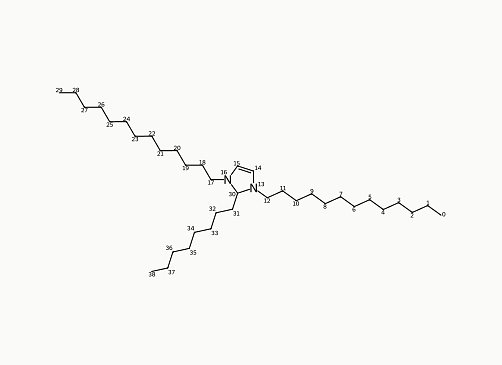 CCCCCCCCCCCCCN1C=CN(CCCCCCCCCCCCC)C1CCCCCCCC